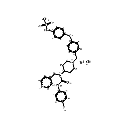 CS(=O)(=O)Nc1ccc(Oc2ccc(CN3CCC(N(Cc4ccncc4)C(=O)Nc4ccc(F)cc4)CC3)cc2)cc1.Cl.Cl